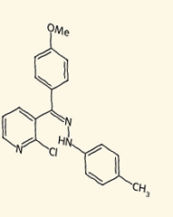 COc1ccc(C(=NNc2ccc(C)cc2)c2cccnc2Cl)cc1